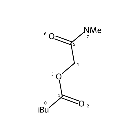 CCC(C)C(=O)OCC(=O)NC